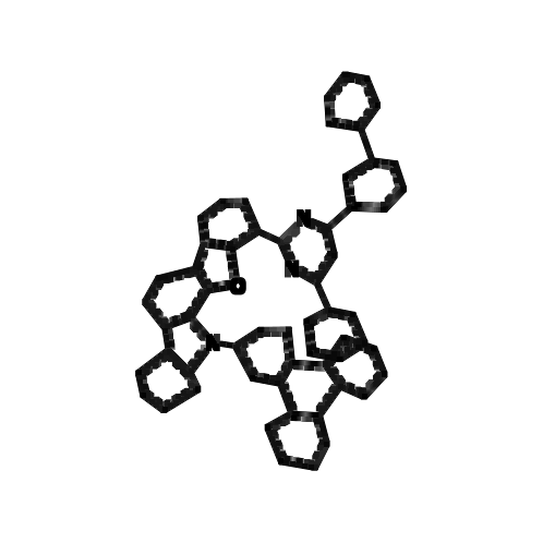 c1ccc(-c2cccc(-c3cc(-c4ccccc4)nc(-c4cccc5c4oc4c5ccc5c6ccccc6n(-c6ccc7c8ccccc8c8ccccc8c7c6)c54)n3)c2)cc1